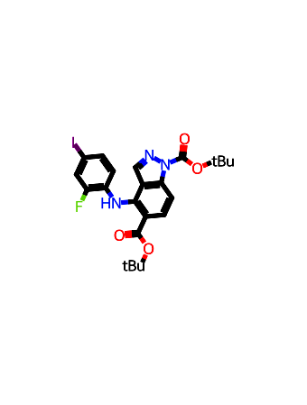 CC(C)(C)OC(=O)c1ccc2c(cnn2C(=O)OC(C)(C)C)c1Nc1ccc(I)cc1F